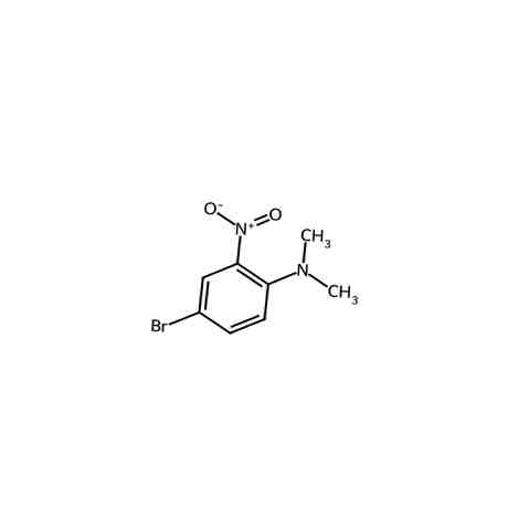 CN(C)c1ccc(Br)cc1[N+](=O)[O-]